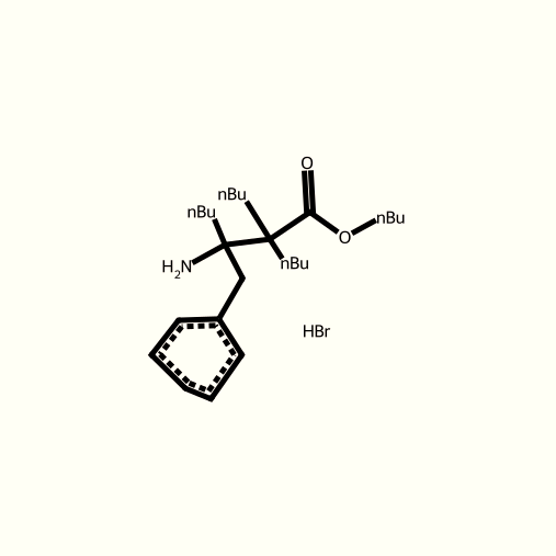 Br.CCCCOC(=O)C(CCCC)(CCCC)C(N)(CCCC)Cc1ccccc1